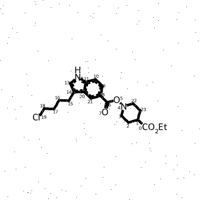 CCOC(=O)C1CCN(OC(=O)c2ccc3[nH]cc(CCCCCl)c3c2)CC1